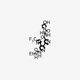 CCNC(=O)Nc1cc(-c2nc(C(F)(F)F)cs2)c(-c2cncc(C(=O)NNC(=O)N3CC[C@H](O)C3)c2)cn1